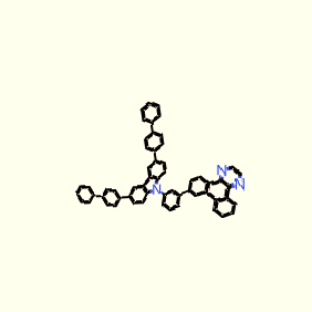 c1ccc(-c2ccc(-c3ccc4c(c3)c3cc(-c5ccc(-c6ccccc6)cc5)ccc3n4-c3cccc(-c4ccc5c(c4)c4ccccc4c4nccnc54)c3)cc2)cc1